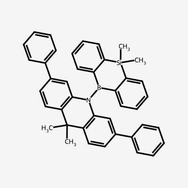 CC1(C)c2ccc(-c3ccccc3)cc2N(B2c3ccccc3[Si](C)(C)c3ccccc32)c2cc(-c3ccccc3)ccc21